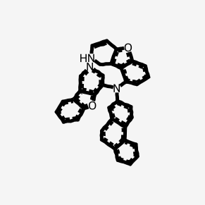 C1=Cc2oc3cccc(N(c4ccc5c(ccc6ccccc65)c4)c4cncc5c4oc4ccccc45)c3c2CN1